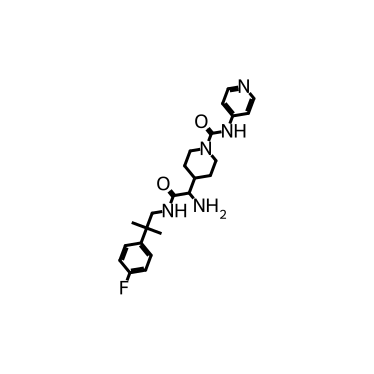 CC(C)(CNC(=O)C(N)C1CCN(C(=O)Nc2ccncc2)CC1)c1ccc(F)cc1